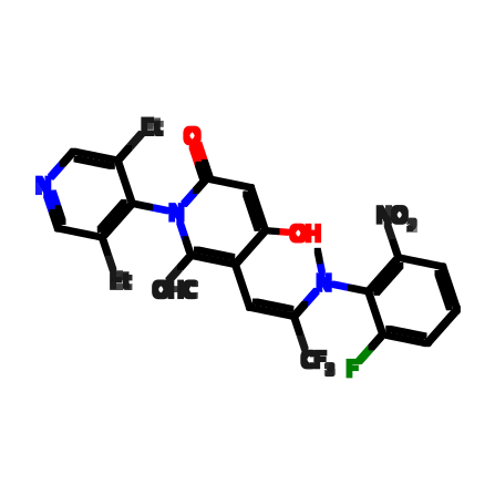 CCc1cncc(CC)c1-n1c(C=O)c(/C=C(\N(C)c2c(F)cccc2[N+](=O)[O-])C(F)(F)F)c(O)cc1=O